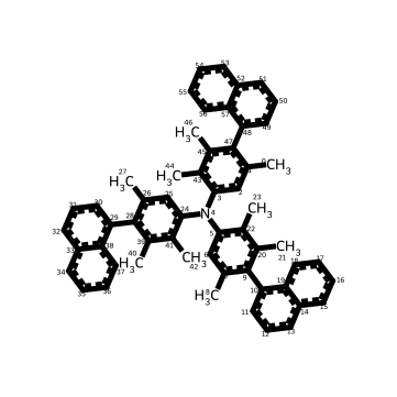 Cc1cc(N(c2cc(C)c(-c3cccc4ccccc34)c(C)c2C)c2cc(C)c(-c3cccc4ccccc34)c(C)c2C)c(C)c(C)c1-c1cccc2ccccc12